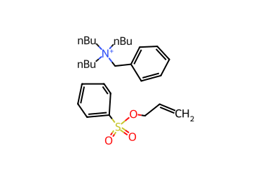 C=CCOS(=O)(=O)c1ccccc1.CCCC[N+](CCCC)(CCCC)Cc1ccccc1